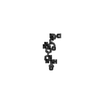 Clc1cnn(C[C@H]2CCOc3cc(-c4ccnc(NC5COC5)n4)cc4nnc2n34)c1